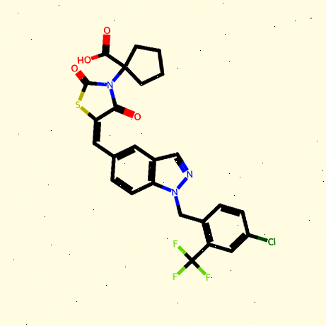 O=C1SC(=Cc2ccc3c(cnn3Cc3ccc(Cl)cc3C(F)(F)F)c2)C(=O)N1C1(C(=O)O)CCCC1